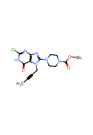 CC#CCn1c(N2CCN(C(=O)OC(C)(C)C)CC2)nc2nc(Cl)[nH]c(=O)c21